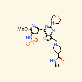 CCNC(=O)C1CCN(Cc2csc3c(-c4cnc(OC)c(NS(C)(=O)=O)c4)nc(N4CCOCC4)nc23)CC1